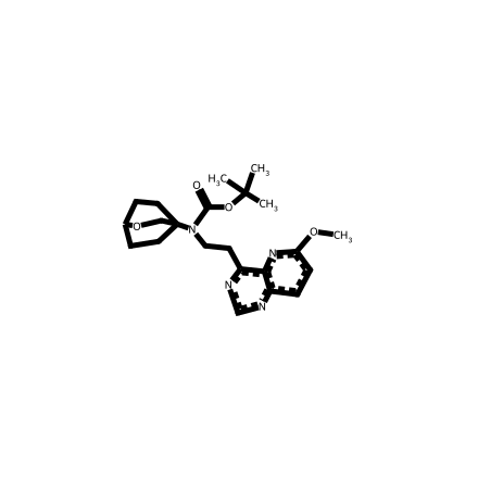 COc1ccc2ncnc(CCN(C(=O)OC(C)(C)C)C34CCC(CC3)OC4)c2n1